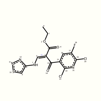 CCOC(=O)/C(=C/Nc1csnn1)C(=O)c1cc(F)c(Cl)nc1Cl